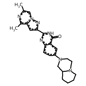 Cc1cn2nc(-c3nc4ccc(N5CCN6CCCCC6C5)cc4c(=O)[nH]3)cc2c(C)n1